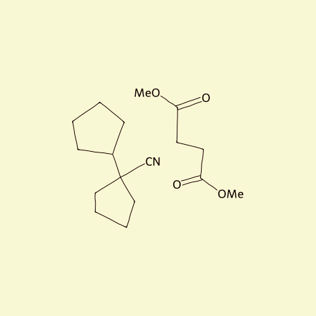 COC(=O)CCC(=O)OC.N#CC1(C2CCCC2)CCCC1